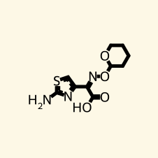 Nc1nc(C(=NOC2CCCCO2)C(=O)O)cs1